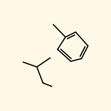 CCC(C)C.Cc1ccccc1